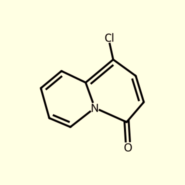 O=c1ccc(Cl)c2ccccn12